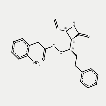 C=C[C@@H]1NC(=O)[C@H]1[C@@H](CCc1ccccc1)OOC(=O)Cc1ccccc1[N+](=O)[O-]